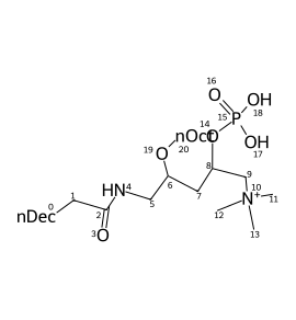 CCCCCCCCCCCC(=O)NCC(CC(C[N+](C)(C)C)OP(=O)(O)O)OCCCCCCCC